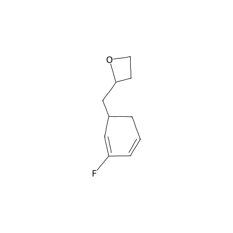 FC1=CC(CC2CCO2)CC=C1